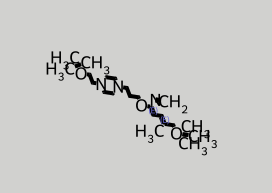 C=N/C(=C\C=C(/C)COC(C)(C)C)OCCCN1CCN(CCOC(C)(C)C)CC1